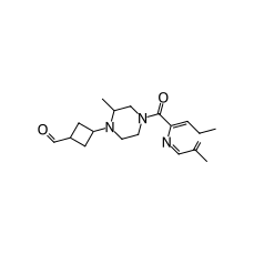 C=C(C)/C=N\C(=C/CC)C(=O)N1CCN(C2CC(C=O)C2)C(C)C1